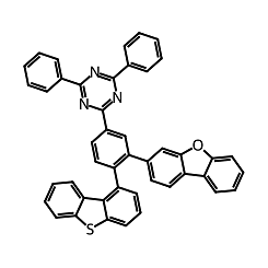 c1ccc(-c2nc(-c3ccccc3)nc(-c3ccc(-c4cccc5sc6ccccc6c45)c(-c4ccc5c(c4)oc4ccccc45)c3)n2)cc1